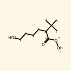 CC(C)(C)C(CCCCO)C(=O)OO